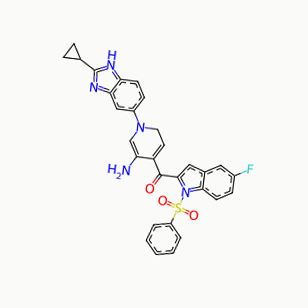 NC1=CN(c2ccc3[nH]c(C4CC4)nc3c2)CC=C1C(=O)c1cc2cc(F)ccc2n1S(=O)(=O)c1ccccc1